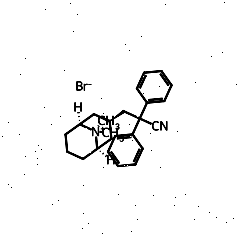 C[N+]1(C)[C@@H]2CCC[C@H]1C[C@@H](CC(C#N)(c1ccccc1)c1ccccc1)C2.[Br-]